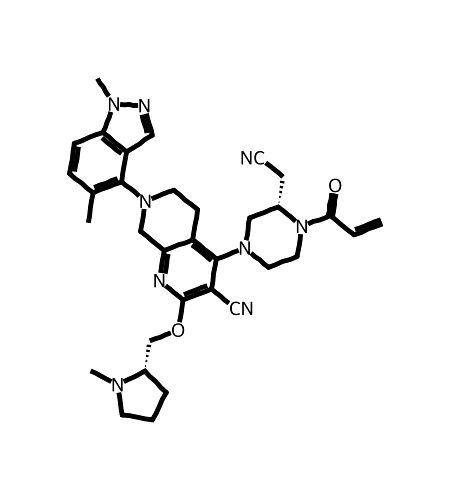 C=CC(=O)N1CCN(c2c(C#N)c(OC[C@@H]3CCCN3C)nc3c2CCN(c2c(C)ccc4c2cnn4C)C3)C[C@@H]1CC#N